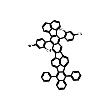 N#Cc1ccc(-c2c3cc4c(cc3c(-c3ccc(C#N)cc3C#N)c3c5cccc6cccc(c23)c65)c2ccc3c5c(ccc4c52)-c2c-3c(-c3ccccc3)c3ccccc3c2-c2ccccc2)c(C#N)c1